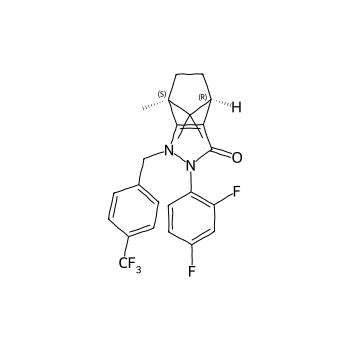 CC1(C)[C@H]2CC[C@]1(C)c1c2c(=O)n(-c2ccc(F)cc2F)n1Cc1ccc(C(F)(F)F)cc1